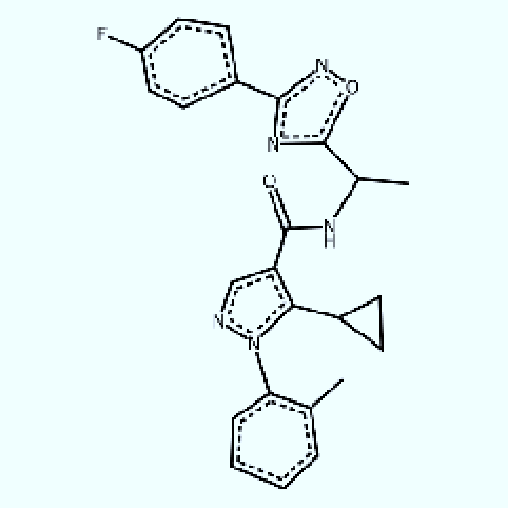 Cc1ccccc1-n1ncc(C(=O)NC(C)c2nc(-c3ccc(F)cc3)no2)c1C1CC1